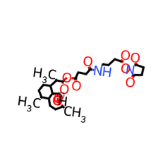 CC1CCC2C(C)C(OC(=O)CCC(=O)NCCCC(=O)ON3C(=O)CCC3=O)O[C@H]3OC4(C)CCC1C23OO4